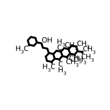 CC1CCCC(C(O)CCC2CCC(C)C3C(C)C4C(C)C5(C)C(C)C(C(C)C)C(C)CC5(C)CC4(C)CC23)C1